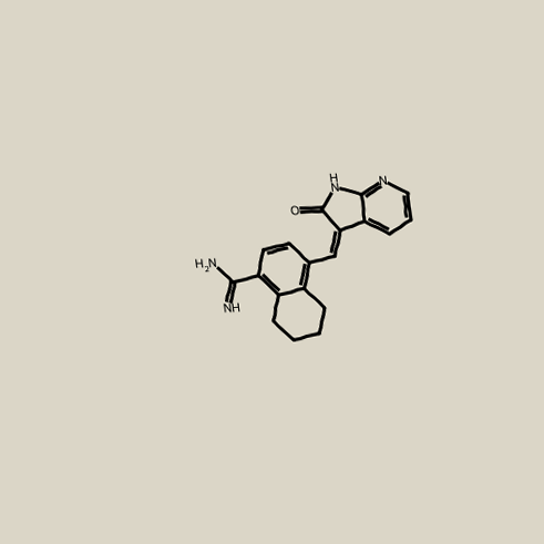 N=C(N)c1ccc(C=C2C(=O)Nc3ncccc32)c2c1CCCC2